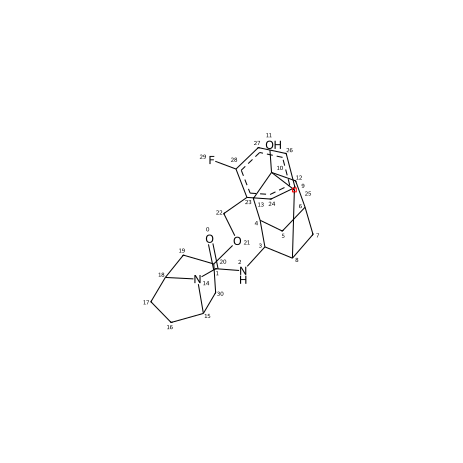 O=C(NC1C2CC3CC1CC(O)(C3)C2)N1C2CCC1CC(OCc1ccccc1F)C2